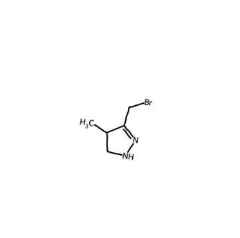 CC1CNN=C1CBr